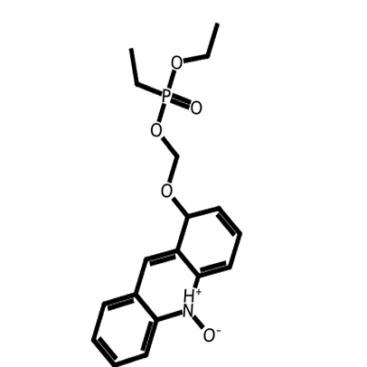 CCOP(=O)(CC)OCOC1C=CC=C2C1=Cc1ccccc1[NH+]2[O-]